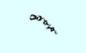 CC(C)OC1CC(C(=O)Nc2ncc(Oc3cnc(N4C5CCC4COC5)nc3)s2)C1